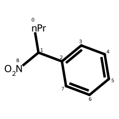 C[CH]CC(c1ccccc1)[N+](=O)[O-]